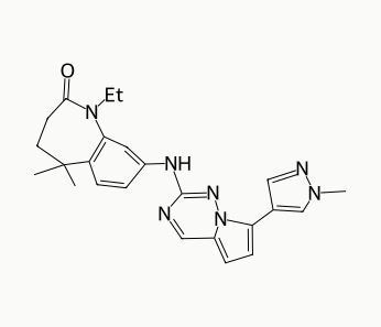 CCN1C(=O)CCC(C)(C)c2ccc(Nc3ncc4ccc(-c5cnn(C)c5)n4n3)cc21